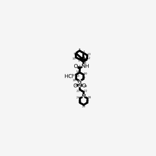 Cl.O=C(NC1C2CC3CC(C2)CC1C3)C1CCN(S(=O)(=O)CCN2CCCCC2)CC1